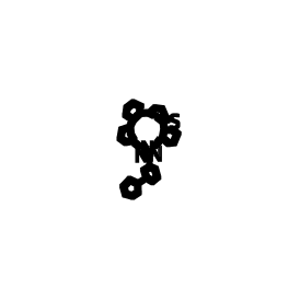 c1ccc(-c2cccc(-c3nc4nc(n3)c3cccc5sc6ccc(cc6c53)c3ccccc3c3cccc4c3)c2)cc1